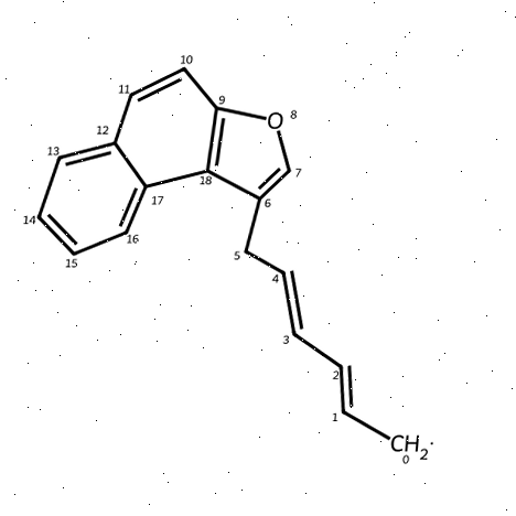 [CH2]C=CC=CCc1coc2ccc3ccccc3c12